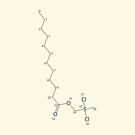 CCCCCCCCCCCC(=O)OCS(C)(Cl)Cl